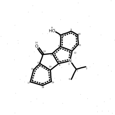 CC(C)n1c2c(c3c(O)cccc31)C(=O)c1ccccc1-2